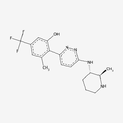 Cc1cc(C(F)(F)F)cc(O)c1-c1ccc(N[C@H]2CCCN[C@@H]2C)nn1